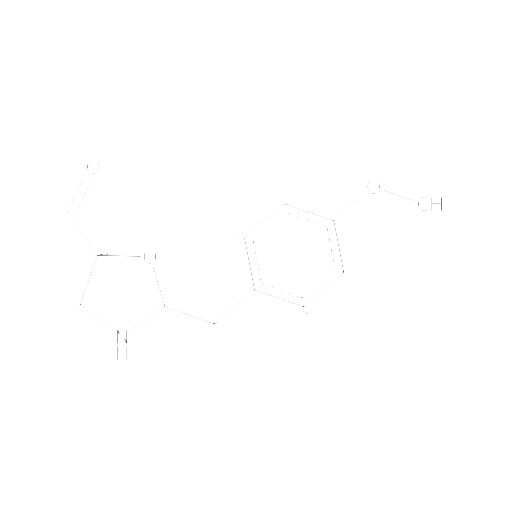 COc1ccc(CC2NCC(C=O)O2)cc1